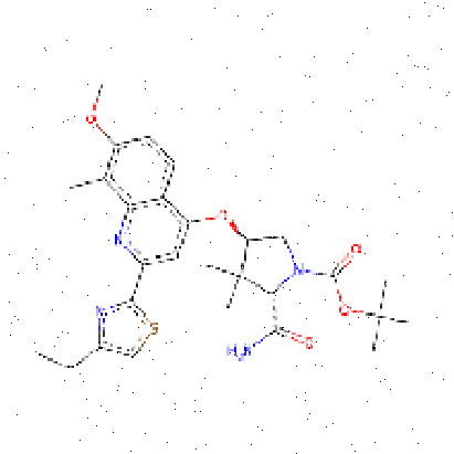 CCc1csc(-c2cc(O[C@H]3CN(C(=O)OC(C)(C)C)[C@H](C(N)=O)C3(C)C)c3ccc(OC)c(C)c3n2)n1